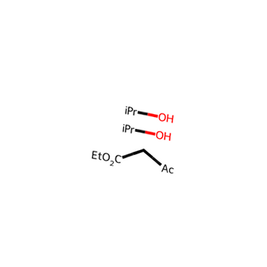 CC(C)O.CC(C)O.CCOC(=O)CC(C)=O